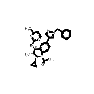 CC(=O)N1c2ccc(-c3cnn(Cc4ccccc4)c3)cc2[C@H](Nc2nccc(C)n2)[C@@H](C)[C@@H]1C1CC1